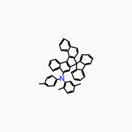 Cc1ccc(N(c2cc(C)ccc2C)c2cc3c(c4ccccc24)-c2c(ccc4ccccc24)C32c3ccccc3-c3ccccc32)cc1